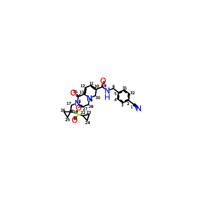 N#Cc1ccc(CNC(=O)C2=CC=C3C(=O)N(CC4(S(=O)(=O)C5CC5)CC4)CCN3C2)cc1